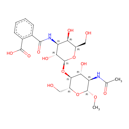 CO[C@@H]1O[C@H](CO)[C@@H](O[C@@H]2O[C@H](CO)[C@H](O)[C@H](NC(=O)c3ccccc3C(=O)O)[C@H]2O)[C@H](O)[C@H]1NC(C)=O